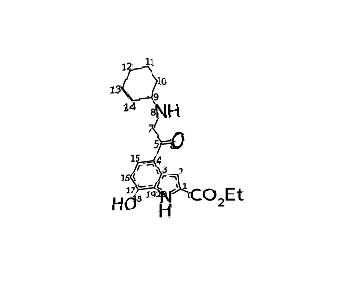 CCOC(=O)c1cc2c(C(=O)CNC3CCCCC3)ccc(O)c2[nH]1